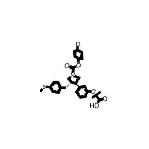 CSc1ccc(C[C@@H]2CN(C(=O)Oc3ccc(Cl)cc3)C[C@H]2c2cccc(OC(C)(C)C(=O)O)c2)cc1